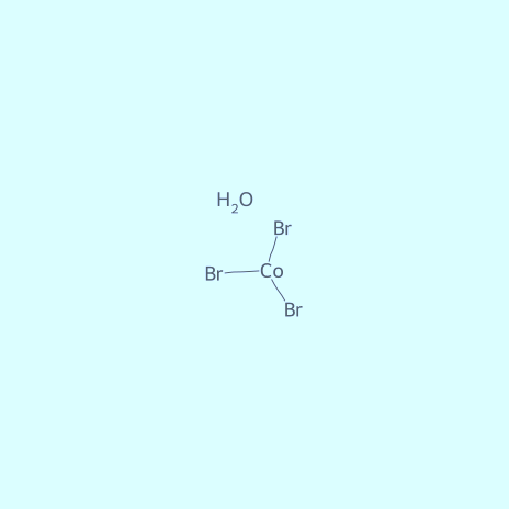 O.[Br][Co]([Br])[Br]